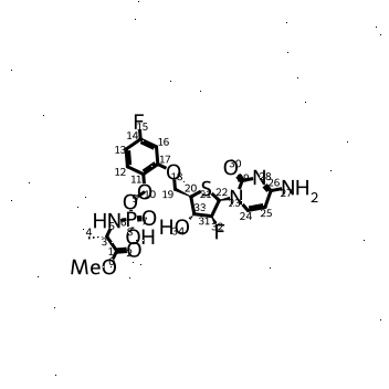 COC(=O)[C@H](C)NP(=O)(O)OOc1ccc(F)cc1OC[C@H]1S[C@@H](n2ccc(N)nc2=O)[C@@H](F)[C@@H]1O